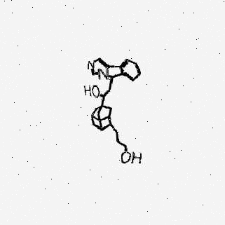 OCCCC1C2CC3CC1CC(C(O)CC1c4ccccc4-c4cncn41)(C3)C2